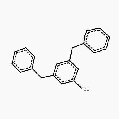 C[CH]C(C)c1cc(Cc2ccccc2)cc(Cc2ccccc2)c1